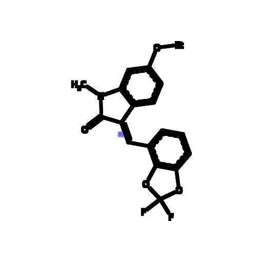 CCOc1ccc2c(c1)N(C)C(=O)/C2=C/c1cccc2c1OC(F)(F)O2